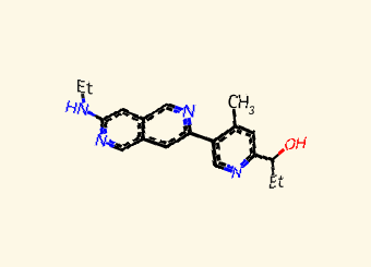 CCNc1cc2cnc(-c3cnc(C(O)CC)cc3C)cc2cn1